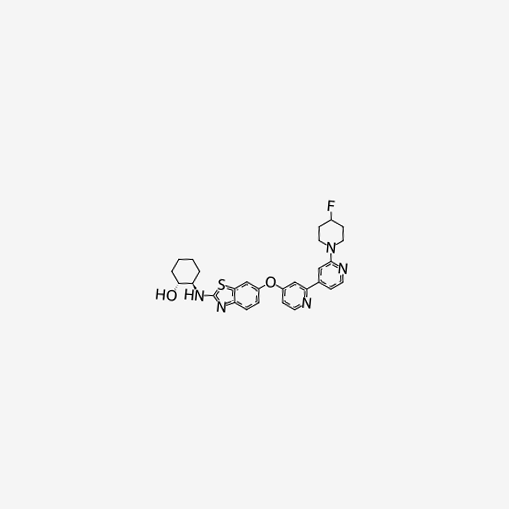 O[C@@H]1CCCC[C@H]1Nc1nc2ccc(Oc3ccnc(-c4ccnc(N5CCC(F)CC5)c4)c3)cc2s1